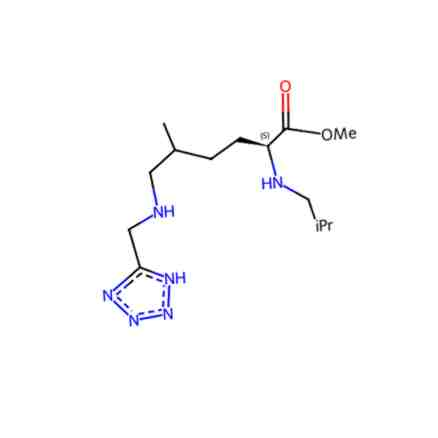 COC(=O)[C@H](CCC(C)CNCc1nnn[nH]1)NCC(C)C